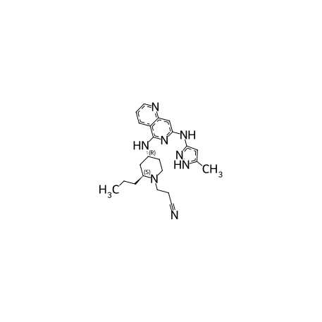 CCC[C@H]1C[C@H](Nc2nc(Nc3cc(C)[nH]n3)cc3ncccc23)CCN1CCC#N